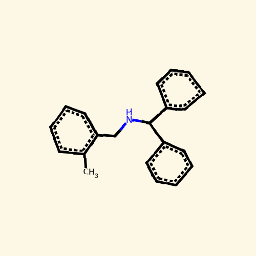 Cc1ccccc1CNC(c1ccccc1)c1ccccc1